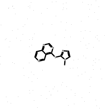 Cn1ccnc1Sc1ncnc2ccncc12